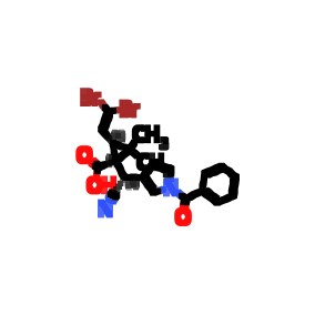 CC1(C)[C@H](C=C(Br)Br)[C@@]1(C(=O)O)[C@@H](C#N)c1ccn(C(=O)c2ccccc2)c1